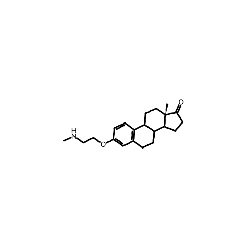 CNCCOc1ccc2c(c1)CCC1C2CC[C@]2(C)C(=O)CCC12